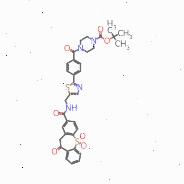 CC(C)(C)OC(=O)N1CCN(C(=O)c2ccc(-c3ncc(CNC(=O)c4ccc5c(c4)CC(=O)c4ccccc4S5(=O)=O)s3)cc2)CC1